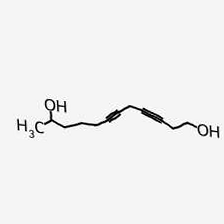 CC(O)CCCC#CCC#CCCO